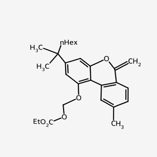 C=C1Oc2cc(C(C)(C)CCCCCC)cc(OCOC(=O)OCC)c2-c2cc(C)ccc21